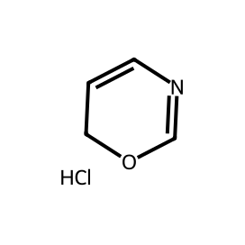 C1=CN=COC1.Cl